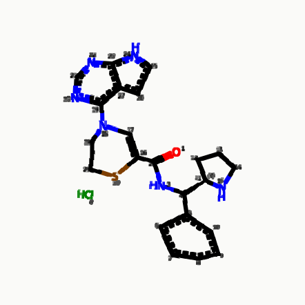 Cl.O=C(NC(c1ccccc1)[C@H]1CCCN1)C1=CN(c2ncnc3[nH]ccc23)CCS1